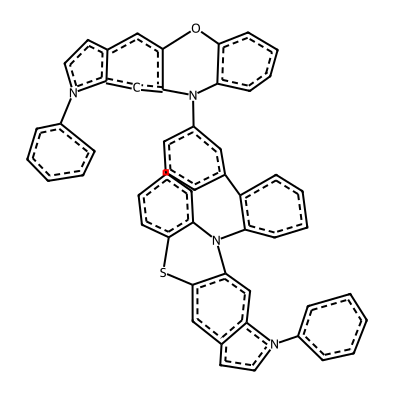 c1ccc(-n2ccc3cc4c(cc32)N(c2cccc(-c3ccccc3N3c5ccccc5Sc5cc6ccn(-c7ccccc7)c6cc53)c2)c2ccccc2O4)cc1